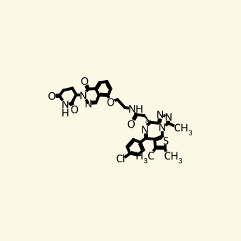 Cc1sc2c(c1C)C(c1ccc(Cl)cc1)=N[C@@H](CC(=O)NCCOc1cccc3c(=O)n(C4CCC(=O)NC4=O)ncc13)c1nnc(C)n1-2